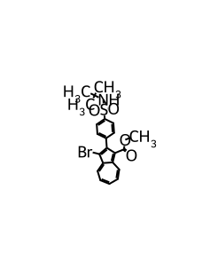 COC(=O)c1c2cccccc-2c(Br)c1-c1ccc(S(=O)(=O)NC(C)(C)C)cc1